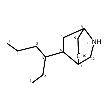 CCCC(CC)C1CC2CCC1CN2